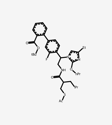 CCCOc1nc(CC)cn1C(CNC(=O)C(CSC(C)=O)CC(C)C)c1ccc(-c2ccccc2C(=O)OC(C)(C)C)cc1F